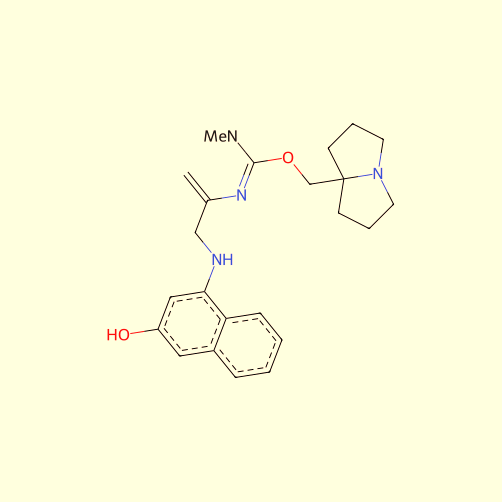 C=C(CNc1cc(O)cc2ccccc12)/N=C(\NC)OCC12CCCN1CCC2